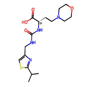 CC(C)c1nc(CNC(=O)N[C@@H](CCN2CCOCC2)C(=O)O)cs1